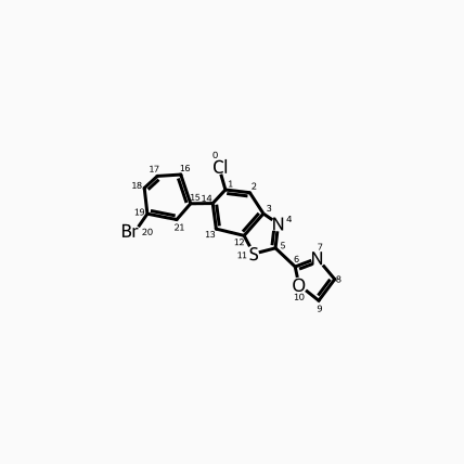 Clc1cc2nc(-c3ncco3)sc2cc1-c1cccc(Br)c1